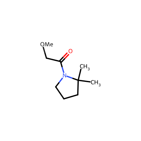 COCC(=O)N1CCCC1(C)C